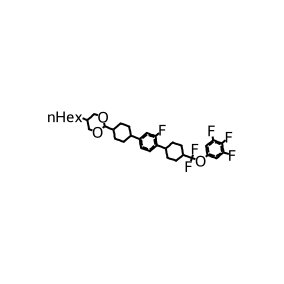 CCCCCCC1COC(C2CCC(c3ccc(C4CCC(C(F)(F)Oc5cc(F)c(F)c(F)c5)CC4)c(F)c3)CC2)OC1